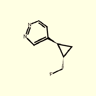 FC[C@H]1C[C@@H]1c1ccnnc1